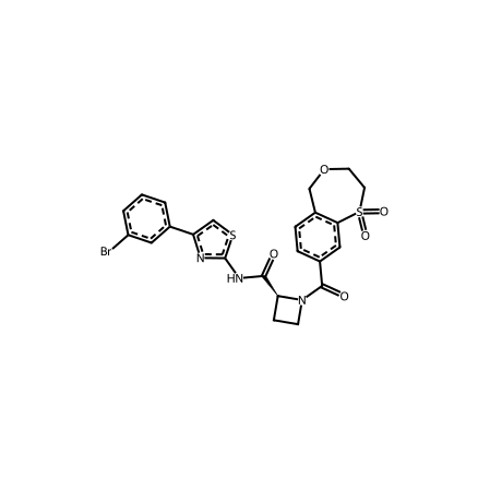 O=C(Nc1nc(-c2cccc(Br)c2)cs1)[C@@H]1CCN1C(=O)c1ccc2c(c1)S(=O)(=O)CCOC2